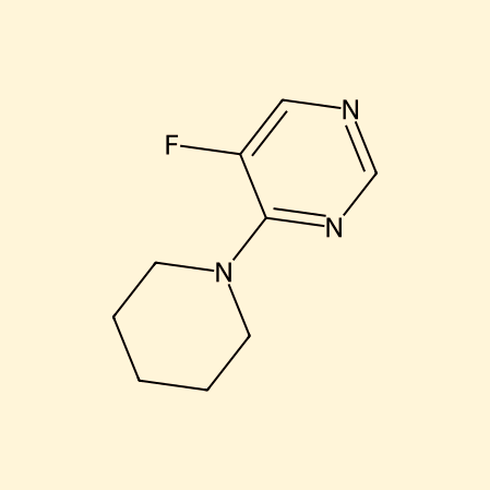 Fc1cncnc1N1CCCCC1